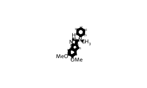 COc1cc2c(cc1OC)-c1n[nH]c(N(C)C3CCCCC3)c1C2